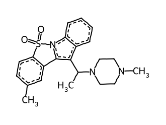 Cc1ccc2c(c1)-c1c(C(C)N3CCN(C)CC3)c3ccccc3n1S2(=O)=O